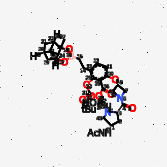 CC(=O)N[C@H]1C[C@@H](C(=O)N2CC(Oc3ccc(CCB4O[C@@H]5C[C@@H]6C[C@@H](C6(C)C)[C@]5(C)O4)c(OC(=O)OC(C)(C)C)c3C(=O)OC(C)(C)C)C2)N(C(=O)O)C1